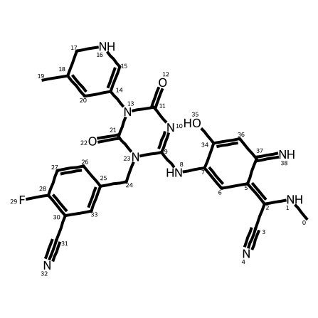 CN/C(C#N)=C1/C=C(Nc2nc(=O)n(C3=CNCC(C)=C3)c(=O)n2Cc2ccc(F)c(C#N)c2)C(O)=CC1=N